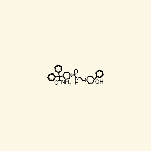 NC(=O)C(c1ccccc1)(c1ccccc1)C1CCN(C(=O)NCCN2CCC(O)(c3ccccc3)CC2)CC1